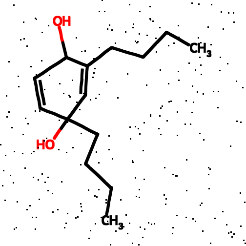 CCCCC1=CC(O)(CCCC)C=CC1O